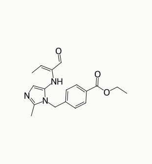 C/C=C(/C=O)Nc1cnc(C)n1Cc1ccc(C(=O)OCC)cc1